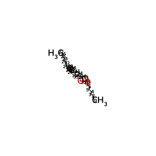 CCCCC/C=C/COC1COC(c2ccc(C34CCC(CCCCCCC)(CC3)CC4)cc2)CO1